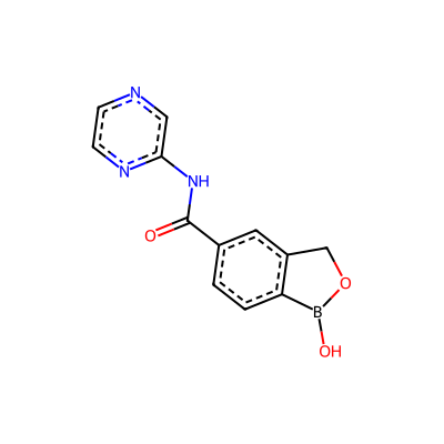 O=C(Nc1cnccn1)c1ccc2c(c1)COB2O